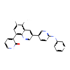 COc1c(C(C)(C)C)cc(-c2ccc[nH]c2=O)c2ncc(-c3ccc(Nc4ccccc4)nc3)cc12